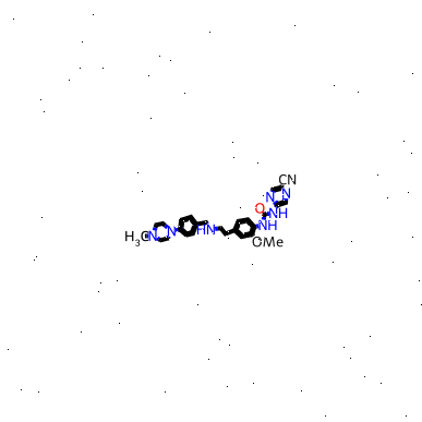 COc1cc(CCNCc2ccc(N3CCN(C)CC3)cc2)ccc1NC(=O)Nc1cnc(C#N)cn1